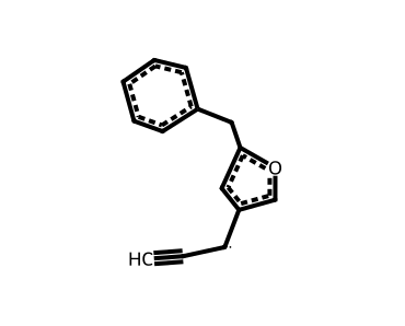 C#C[CH]c1coc(Cc2ccccc2)c1